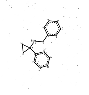 c1ccc(CNC2(c3cnccn3)CC2)cc1